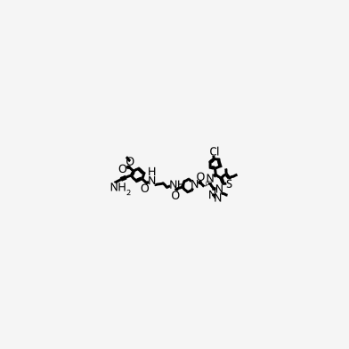 COC(=O)c1ccc(C(=O)NCCCNC(=O)C2CCN(C(=O)C[C@@H]3N=C(c4ccc(Cl)cc4)c4c(sc(C)c4C)-n4c(C)nnc43)CC2)cc1C#CCN